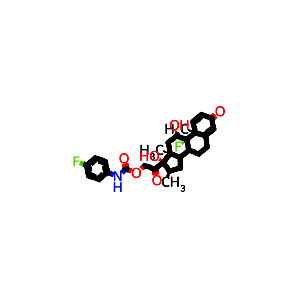 C[C@@H]1CC2C3CCC4=CC(=O)C=C[C@]4(C)[C@@]3(F)[C@@H](O)C[C@]2(C)[C@@]1(O)C(=O)COC(=O)Nc1ccc(F)cc1